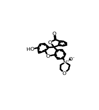 O=C1OC2(c3ccc(O)cc3Oc3cc([N+]4([O-])CCOCC4)ccc32)c2ccccc21